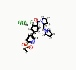 CCS(=O)(=O)c1ccc(-c2ccc(C(=O)N3CCCC3CN3CCCC3)c(F)c2)cn1.Cl.Cl